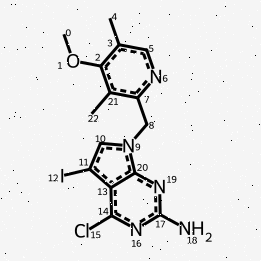 COc1c(C)cnc(Cn2cc(I)c3c(Cl)nc(N)nc32)c1C